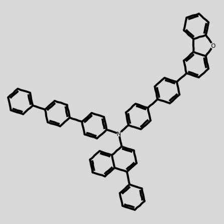 c1ccc(-c2ccc(-c3ccc(N(c4ccc(-c5ccc(-c6ccc7oc8ccccc8c7c6)cc5)cc4)c4ccc(-c5ccccc5)c5ccccc45)cc3)cc2)cc1